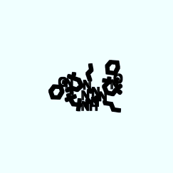 CCCCN(c1nc(NC(C)(C)CC(C)(C)C)nc(N(CCCC)C2CC(C)(C)N(OC3CCCCC3)C(C)(C)C2)n1)C1CC(C)(C)N(OC2CCCCC2)C(C)(C)C1